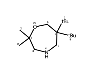 CC1(C)CNCC(C(C)(C)C)(C(C)(C)C)CO1